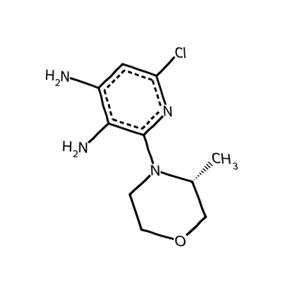 C[C@@H]1COCCN1c1nc(Cl)cc(N)c1N